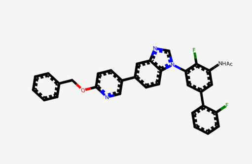 CC(=O)Nc1cc(-c2ccccc2F)cc(-n2cnc3cc(-c4ccc(OCc5ccccc5)nc4)ccc32)c1F